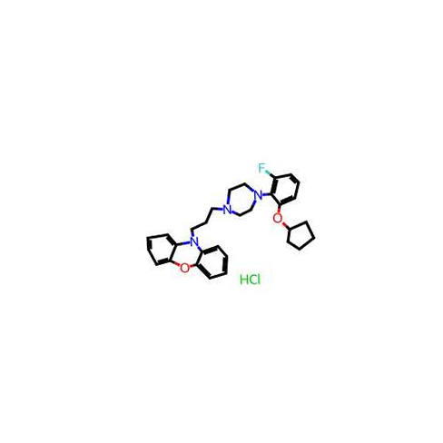 Cl.Fc1cccc(OC2CCCC2)c1N1CCN(CCCN2c3ccccc3Oc3ccccc32)CC1